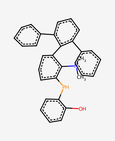 CN(C)c1c(Pc2ccccc2O)cccc1-c1c(-c2ccccc2)cccc1-c1ccccc1